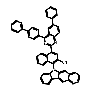 N#Cc1cc(-c2nc(-c3ccc(-c4ccccc4)cc3)c3cc(-c4ccccc4)ccc3n2)c2ccccc2c1-n1c2ccccc2c2cc3ccccc3cc21